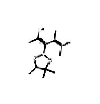 CC(C)=C(C)/C(=C(/C)O)P1OC(C)C(C)(C)O1